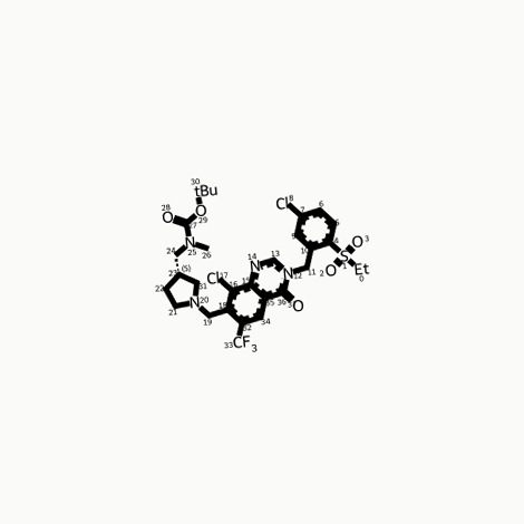 CCS(=O)(=O)c1ccc(Cl)cc1Cn1cnc2c(Cl)c(CN3CC[C@H](CN(C)C(=O)OC(C)(C)C)C3)c(C(F)(F)F)cc2c1=O